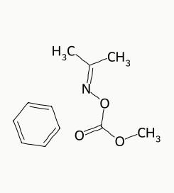 COC(=O)ON=C(C)C.c1ccccc1